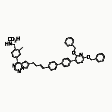 Cc1cc(-c2ncnn3cc(CC/C=C/c4ccc(-c5ccc(-c6ccc(OCc7ccccc7)nc6OCc6ccccc6)cc5)cc4)cc23)ccc1CNC(=O)O